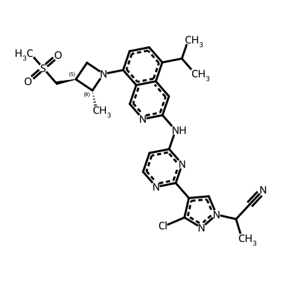 CC(C)c1ccc(N2C[C@H](CS(C)(=O)=O)[C@H]2C)c2cnc(Nc3ccnc(-c4cn(C(C)C#N)nc4Cl)n3)cc12